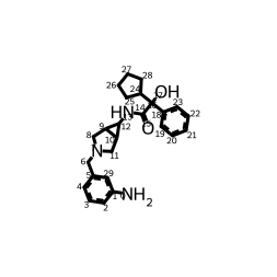 Nc1cccc(CN2CC3C(C2)C3NC(=O)C(O)(c2ccccc2)C2CCCC2)c1